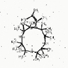 CC(C)=C(C)N1C(C)(C)C(C)(C)NC(C)(C)C(C)(C)NC(C)(C)C(C)(C)NC(C)(C)C1(C)C